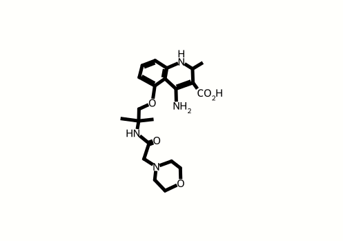 CC1Nc2cccc(OCC(C)(C)NC(=O)CN3CCOCC3)c2C(N)=C1C(=O)O